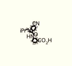 CC(C)Cn1cc(C(=O)Nc2cccc(C(=O)O)c2)c2ccc(C#N)cc21